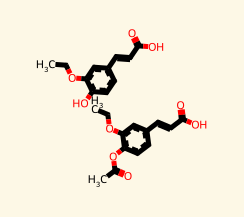 CCOc1cc(C=CC(=O)O)ccc1O.CCOc1cc(C=CC(=O)O)ccc1OC(C)=O